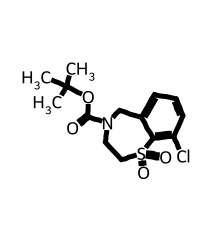 CC(C)(C)OC(=O)N1CCS(=O)(=O)c2c(Cl)cccc2C1